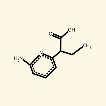 CCC(C(=O)O)c1cccc(N)n1